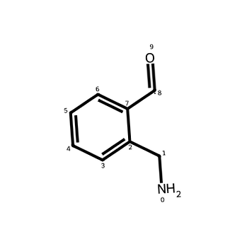 NCc1ccccc1[C]=O